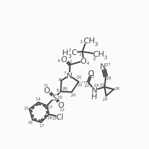 CC(C)(C)OC(=O)N1C[C@H](S(=O)(=O)c2ccccc2Cl)C[C@H]1C(=O)NC1(C#N)CC1